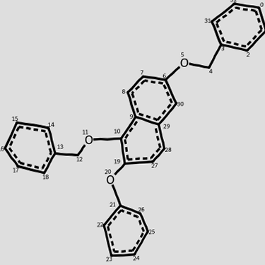 c1ccc(COc2ccc3c(OCc4ccccc4)c(Oc4ccccc4)ccc3c2)cc1